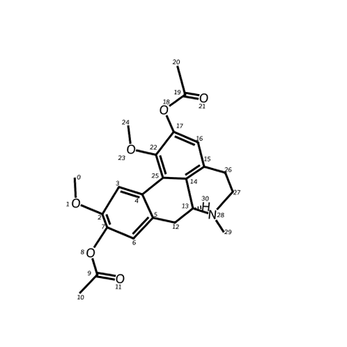 COc1cc2c(cc1OC(C)=O)C[C@H]1c3c(cc(OC(C)=O)c(OC)c3-2)CCN1C